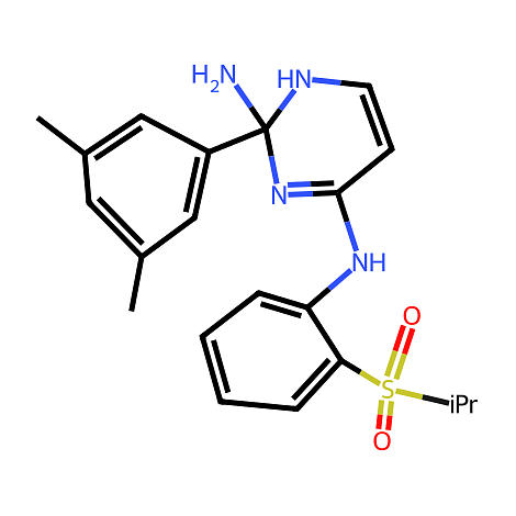 Cc1cc(C)cc(C2(N)N=C(Nc3ccccc3S(=O)(=O)C(C)C)C=CN2)c1